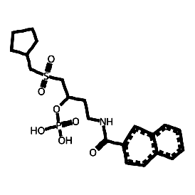 O=C(NCCC(CS(=O)(=O)CC1CCCC1)OP(=O)(O)O)c1ccc2ccccc2c1